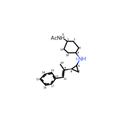 CC(=O)NC1CCC(NC2C[C@H]2/C(C)=C/c2ccccc2)CC1